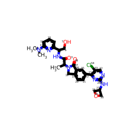 CC(C(=O)NC(CO)c1cccc(N(C)C)n1)N1Cc2ccc(-c3nc(NC4COC4)ncc3Cl)cc2C1=O